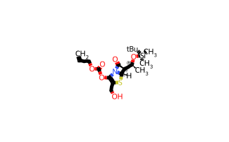 C=CCOC(=O)OC1=C(CO)S[C@@H]2[C@H]([C@@H](C)O[Si](C)(C)C(C)(C)C)C(=O)N12